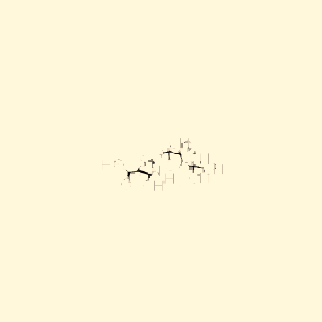 Cc1nc(SC(C)(C)C(=O)OC(C)(C)C)sc1C(=O)O